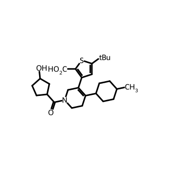 CC1CCC(C2=C(c3cc(C(C)(C)C)sc3C(=O)O)CN(C(=O)C3CCC(O)C3)CC2)CC1